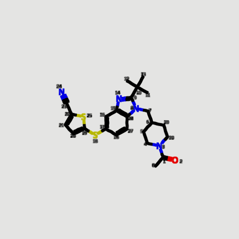 CC(=O)N1CCC(Cn2c(C(C)(C)C)nc3cc(Sc4ccc(C#N)s4)ccc32)CC1